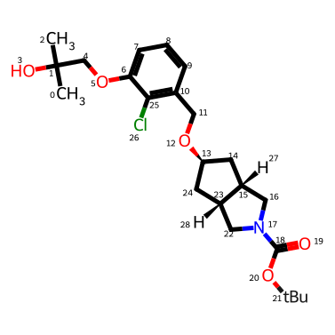 CC(C)(O)COc1cccc(CO[C@H]2C[C@@H]3CN(C(=O)OC(C)(C)C)C[C@@H]3C2)c1Cl